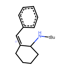 CC(C)(C)NC1CCCC/C1=C/c1ccccc1